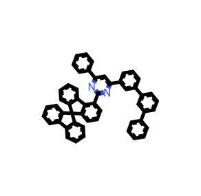 c1ccc(-c2cccc(-c3cccc(-c4cc(-c5ccccc5)nc(-c5cccc6c5-c5ccccc5C65c6ccccc6-c6ccccc65)n4)c3)c2)cc1